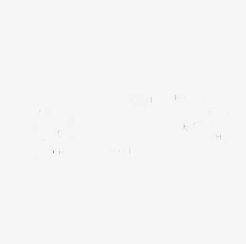 CC1(C)C2CCC1(C)C(OCC/C(C(=O)O)=C(/CCOC1CC3CCC1(C)C3(C)C)C(=O)O)C2